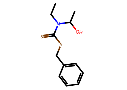 CCN(C(=S)SCc1ccccc1)C(C)O